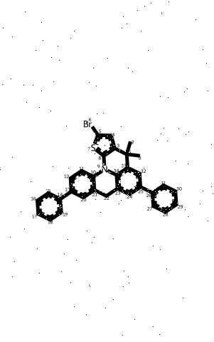 CC1(C)c2cc(Br)sc2N2c3ccc(-c4ccccc4)cc3Cc3cc(-c4ccccc4)cc1c32